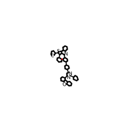 c1ccc(-c2nc(-c3ccc(-c4ccc(-c5nc6ccccc6c6sc(-c7ccccc7)c(-c7ccccc7)c56)cc4)cc3)cc(-c3cccc4oc5ccccc5c34)n2)cc1